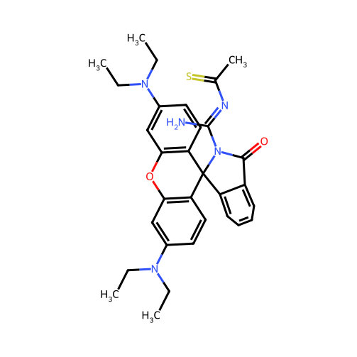 CCN(CC)c1ccc2c(c1)Oc1cc(N(CC)CC)ccc1C21c2ccccc2C(=O)N1/C(N)=N/C(C)=S